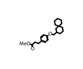 COC(=O)CCc1ccc(OCC2CCCC3(CCCCC3)C2)cc1